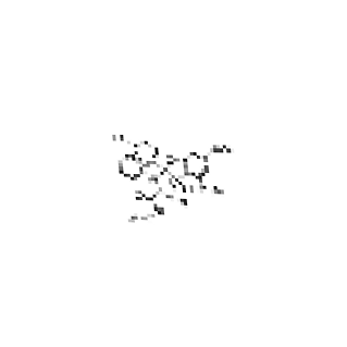 CONC(=O)[C@@H]1[C@@H](O)[C@@]2(O)c3c(OC)cc(OC)cc3OC2(c2ccc(O)cc2)[C@H]1c1ccccc1